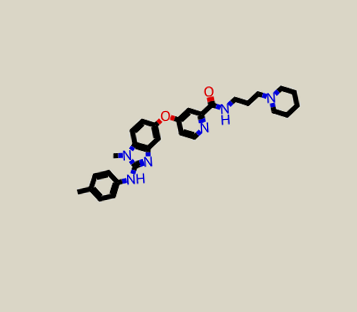 Cc1ccc(Nc2nc3cc(Oc4ccnc(C(=O)NCCCN5CCCCC5)c4)ccc3n2C)cc1